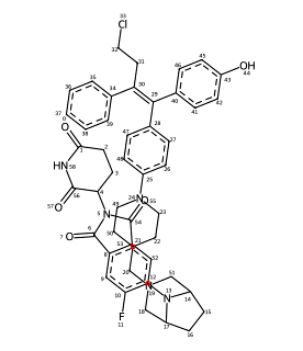 O=C1CCC(N2C(=O)c3cc(F)c(N4C5CCC4CN(CC4CCN(c6ccc(C(=C(CCCl)c7ccccc7)c7ccc(O)cc7)cc6)CC4)C5)cc3C2=O)C(=O)N1